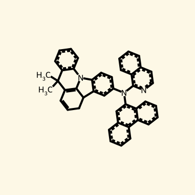 CC1(C)C2=C3C(CC=C2)c2cc(N(c4nccc5ccccc45)c4cc5ccccc5c5ccccc45)ccc2N3c2ccccc21